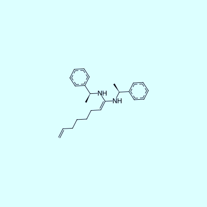 C=CCCCCC=C(N[C@@H](C)c1ccccc1)N[C@@H](C)c1ccccc1